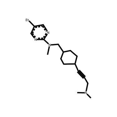 CCc1cnc(N(C)CC2CCC(C#CCN(C)C)CC2)nc1